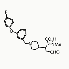 CNN(C(=O)O)C(CC=O)C1CCN(Cc2cccc(Oc3ccc(F)cc3)c2)CC1